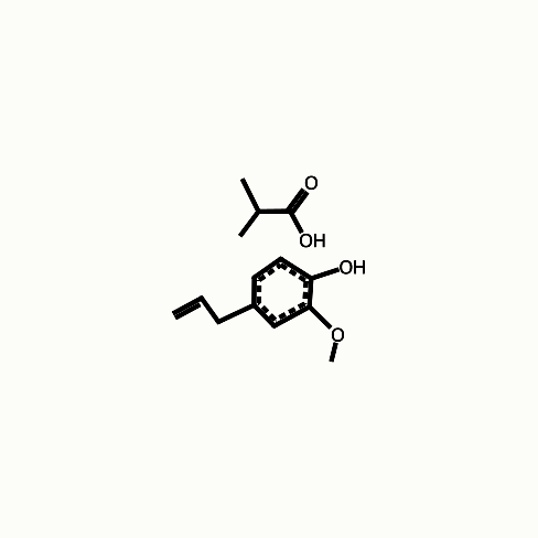 C=CCc1ccc(O)c(OC)c1.CC(C)C(=O)O